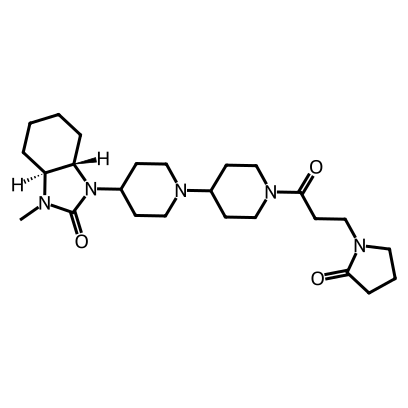 CN1C(=O)N(C2CCN(C3CCN(C(=O)CCN4CCCC4=O)CC3)CC2)[C@H]2CCCC[C@@H]21